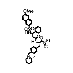 CCN(CC)C(=O)[C@@H](Cc1ccc(CN2[C@H](C)CCC[C@@H]2C)cc1)NC(=O)C[C@@H](NS(=O)(=O)c1ccc2cc(OC)ccc2c1)c1ccccc1